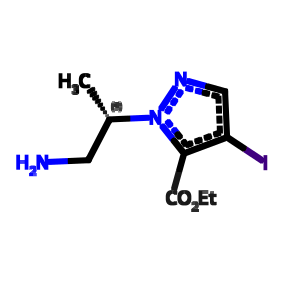 CCOC(=O)c1c(I)cnn1[C@@H](C)CN